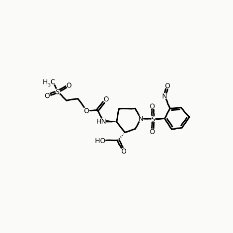 CS(=O)(=O)CCOC(=O)N[C@H]1CCN(S(=O)(=O)c2ccccc2N=O)C[C@@H]1C(=O)O